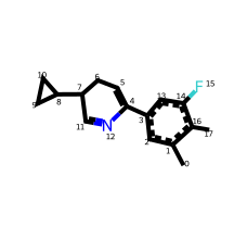 Cc1cc(C2=CCC(C3CC3)C=N2)cc(F)c1C